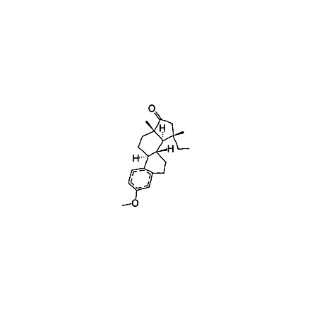 CC[C@@]1(C)CC(=O)[C@@]2(C)CC[C@@H]3c4ccc(OC)cc4CC[C@H]3[C@H]12